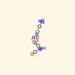 COc1ccc(-c2n[nH]c3ccc(N4CC[C@]5(CCN(CC(=O)N6CC=C(c7ccc(-c8ncn(C)n8)cc7)CC6)C5)C4=O)cc23)cc1